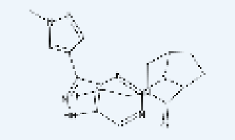 Cn1cc(-c2n[nH]c3cnc(N4C5CCC4C(=O)N(CCF)C5)nc23)cn1